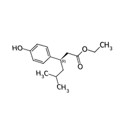 CCOC(=O)C[C@@H](CC(C)C)c1ccc(O)cc1